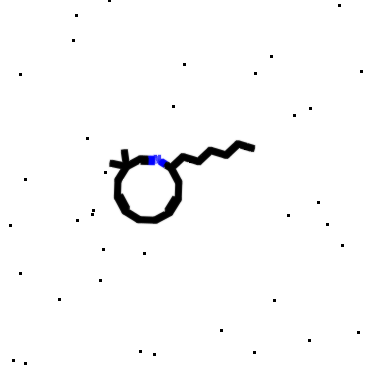 CCCCCCC1CC=CCCC=CCC(C)(C)C=N1